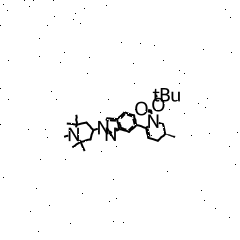 C[C@H]1CC=C(c2ccc3cn(C4CC(C)(C)N(C)C(C)(C)C4)nc3c2)N(C(=O)OC(C)(C)C)C1